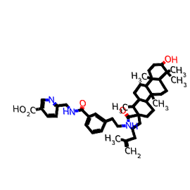 C=C(C)CCCC1(C(=O)NCCc2cccc(C(=O)NCc3ccc(C(=O)O)cn3)c2)CCC2C(CCC3C2(C)CCC2C(C)(C)C(O)CCC23C)C1C